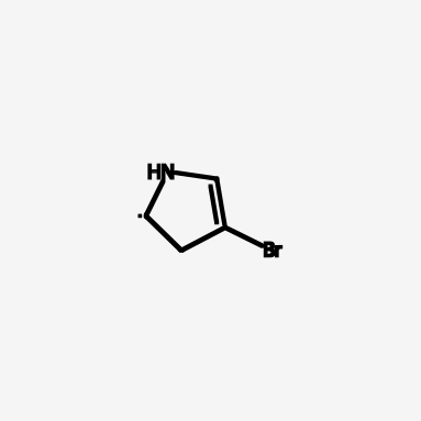 BrC1=CN[CH]C1